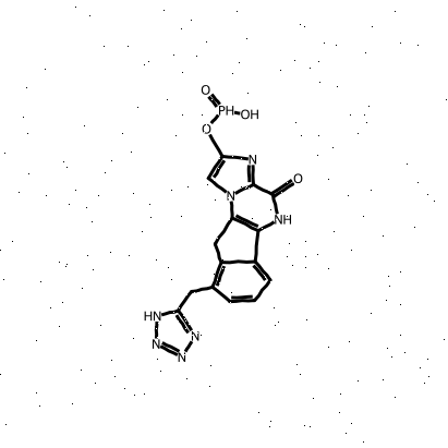 O=c1[nH]c2c(n3cc(O[PH](=O)O)nc13)Cc1c(Cc3nnn[nH]3)cccc1-2